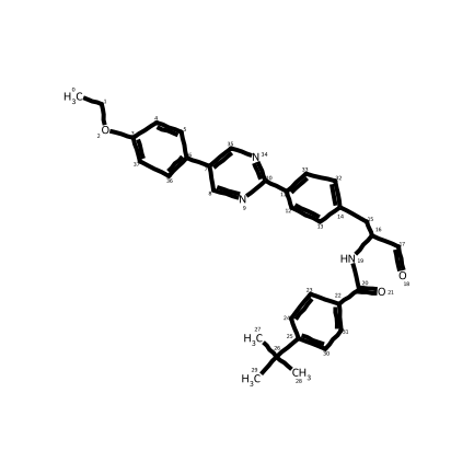 CCOc1ccc(-c2cnc(-c3ccc(CC(C=O)NC(=O)c4ccc(C(C)(C)C)cc4)cc3)nc2)cc1